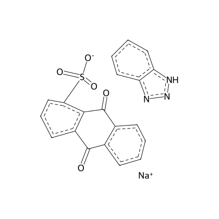 O=C1c2ccccc2C(=O)c2c1cccc2S(=O)(=O)[O-].[Na+].c1ccc2[nH]nnc2c1